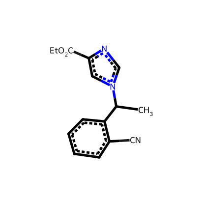 CCOC(=O)c1cn(C(C)c2ccccc2C#N)cn1